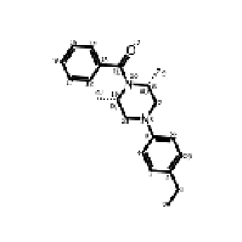 CCc1ccc(N2C[C@@H](C)N(C(=O)c3ccccc3)[C@@H](C)C2)cc1